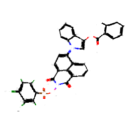 Cc1ccccc1C(=O)Oc1cn(-c2ccc3c4c(cccc24)C(=O)N(OS(=O)(=O)c2c(F)c(F)c(F)c(F)c2F)C3=O)c2ccccc12